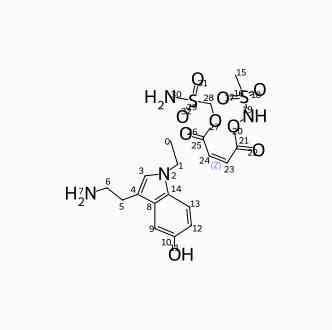 CCn1cc(CCN)c2cc(O)ccc21.CS(=O)(=O)NOC(=O)/C=C\C(=O)OCS(N)(=O)=O